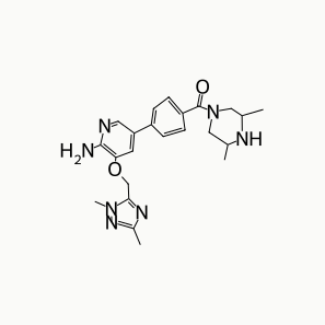 Cc1nc(COc2cc(-c3ccc(C(=O)N4CC(C)NC(C)C4)cc3)cnc2N)n(C)n1